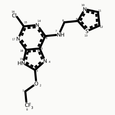 FC(F)(F)COc1nc2c(NCc3nccs3)nc(Cl)nc2[nH]1